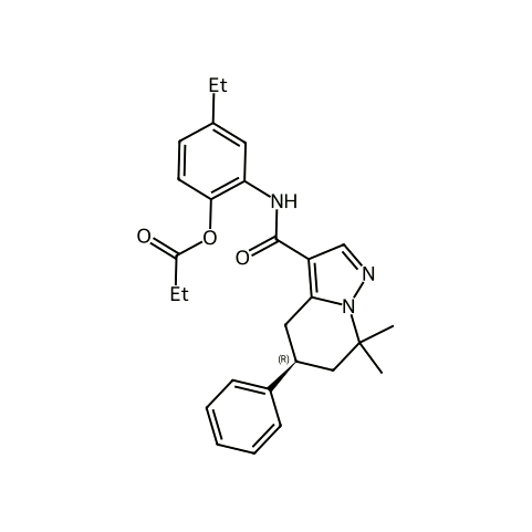 CCC(=O)Oc1ccc(CC)cc1NC(=O)c1cnn2c1C[C@H](c1ccccc1)CC2(C)C